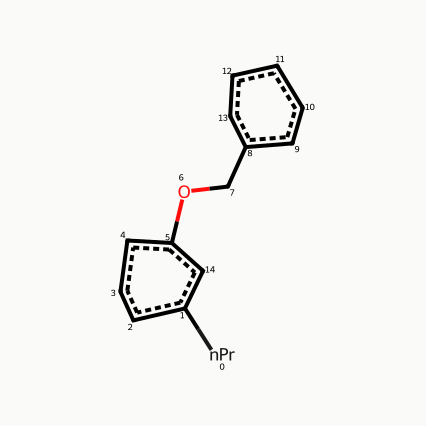 CCCc1cccc(OCc2ccccc2)c1